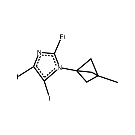 CCc1nc(I)c(I)n1C12CC(C)(C1)C2